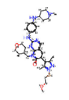 COCCSn1nc(C)c(-c2cc3cnc(Nc4ccc(NC5CCN(C)CC5)cc4)nc3n(CC3CCOCC3)c2=O)c1C